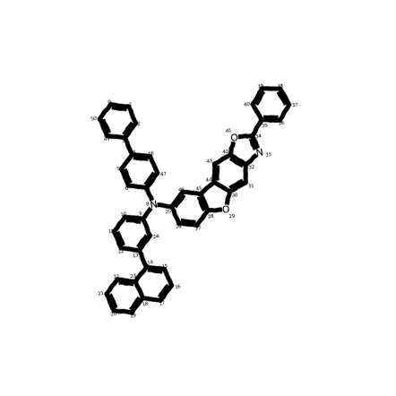 c1ccc(-c2ccc(N(c3cccc(-c4cccc5ccccc45)c3)c3ccc4oc5cc6nc(-c7ccccc7)oc6cc5c4c3)cc2)cc1